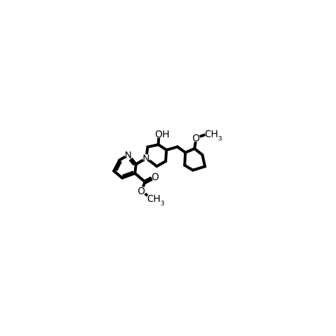 COC(=O)c1cccnc1N1CCC(CC2CCCCC2OC)C(O)C1